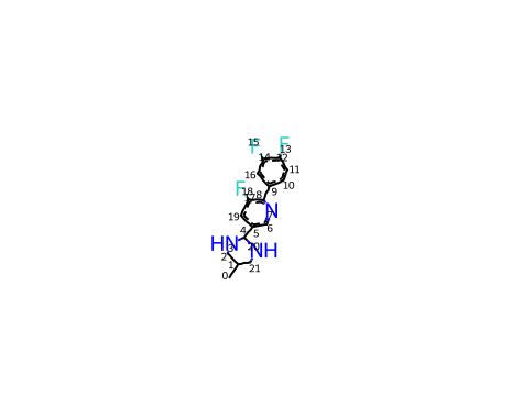 CC1CNC(c2cnc(-c3ccc(F)c(F)c3)c(F)c2)NC1